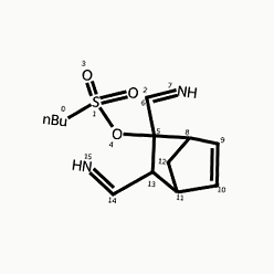 CCCCS(=O)(=O)OC1(C=N)C2C=CC(C2)C1C=N